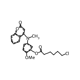 COc1ccc(N(C)c2cc(=O)oc3ccccc23)cc1OC(=O)CCCCCCl